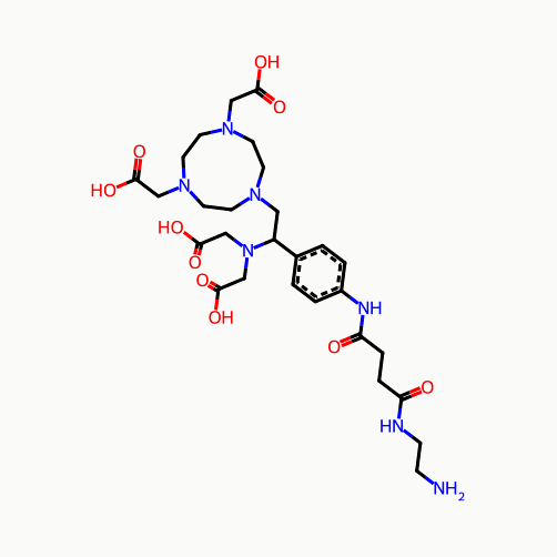 NCCNC(=O)CCC(=O)Nc1ccc(C(CN2CCN(CC(=O)O)CCN(CC(=O)O)CC2)N(CC(=O)O)CC(=O)O)cc1